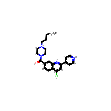 O=C(O)CCCN1CCN(C(=O)c2ccc3c(Cl)cc(-c4ccncc4)nc3c2)CC1